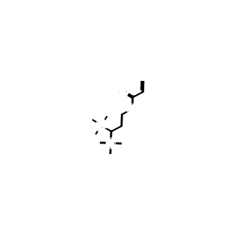 C=CC(=O)OCCC([Si](C)(C)C)[Si](C)(C)C